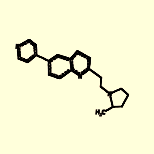 CC1CCCN1CCc1ccc2cc(-c3ccncc3)ccc2n1